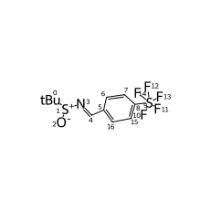 CC(C)(C)[S+]([O-])N=Cc1ccc(S(F)(F)(F)(F)F)cc1